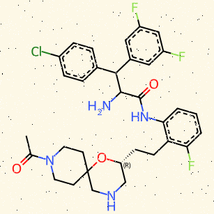 CC(=O)N1CCC2(CC1)CNC[C@@H](CCc1c(F)cccc1NC(=O)C(N)C(c1ccc(Cl)cc1)c1cc(F)cc(F)c1)O2